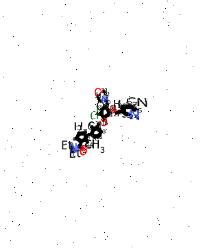 CCN(CC)C(=O)c1cccc(-c2cccc(COc3cc(OCc4cncc(C#N)c4)c(CN4CCOCC4C(=O)O)cc3Cl)c2C)c1C